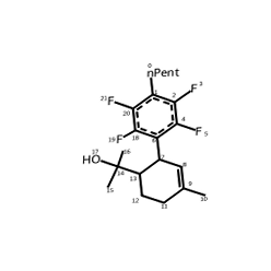 CCCCCc1c(F)c(F)c(C2C=C(C)CCC2C(C)(C)O)c(F)c1F